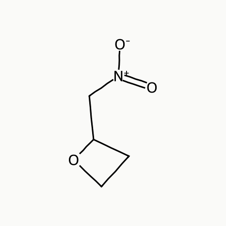 O=[N+]([O-])CC1CCO1